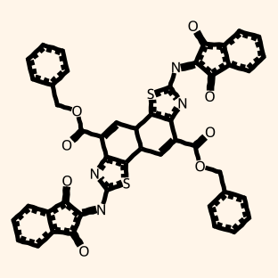 O=C(OCc1ccccc1)C1=CC2c3sc(N=c4c(=O)c5ccccc5c4=O)nc3C(C(=O)OCc3ccccc3)=CC2c2sc(N=c3c(=O)c4ccccc4c3=O)nc21